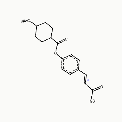 COC1CCC(C(=O)Oc2ccc(/C=C/C(=O)N=O)cc2)CC1